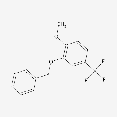 COc1ccc(C(F)(F)F)cc1OCc1ccccc1